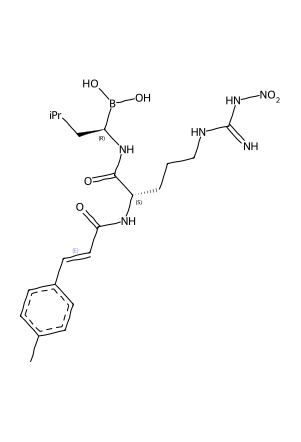 Cc1ccc(/C=C/C(=O)N[C@@H](CCCNC(=N)N[N+](=O)[O-])C(=O)N[C@@H](CC(C)C)B(O)O)cc1